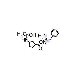 CB(O)NC1CCC(C(=O)O/N=C(\N)Cc2ccccc2)C1